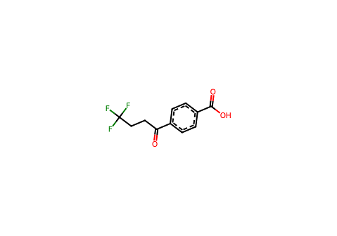 O=C(O)c1ccc(C(=O)CCC(F)(F)F)cc1